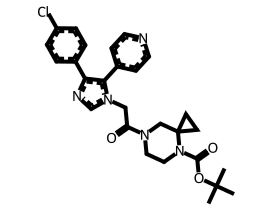 CC(C)(C)OC(=O)N1CCN(C(=O)Cn2cnc(-c3ccc(Cl)cc3)c2-c2ccncc2)CC12CC2